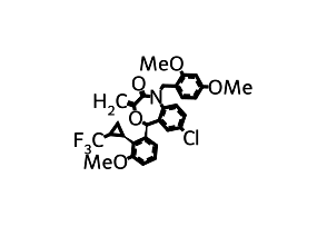 C=C1O[C@H](c2cccc(OC)c2[C@@H]2CC2C(F)(F)F)c2cc(Cl)ccc2N(Cc2ccc(OC)cc2OC)C1=O